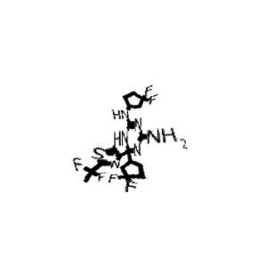 CC(F)(F)c1nc(C2(C3CCC(F)(F)C3)N=C(N)N=C(NC3CCC(F)(F)C3)N2)cs1